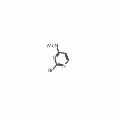 CNc1ccnc(Br)n1